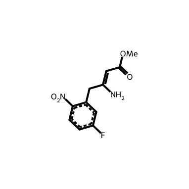 COC(=O)C=C(N)Cc1cc(F)ccc1[N+](=O)[O-]